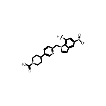 Cc1cc([N+](=O)[O-])cc2ccn(Cc3ccc(C4CCN(C(=O)O)CC4)cn3)c12